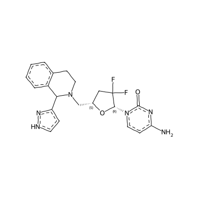 Nc1ccn([C@@H]2O[C@H](CN3CCc4ccccc4C3c3cc[nH]n3)CC2(F)F)c(=O)n1